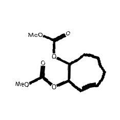 COC(=O)OC1C=CCCCC1OC(=O)OC